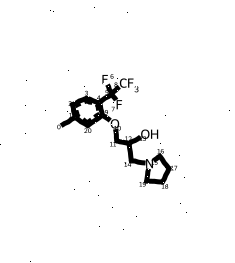 Cc1ccc(C(F)(F)C(F)(F)F)c(OCC(O)CN2CCCC2)c1